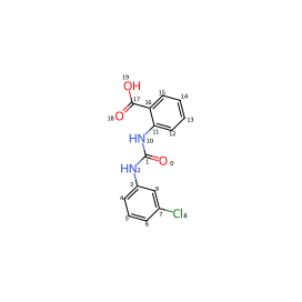 O=C(Nc1cccc(Cl)c1)Nc1ccccc1C(=O)O